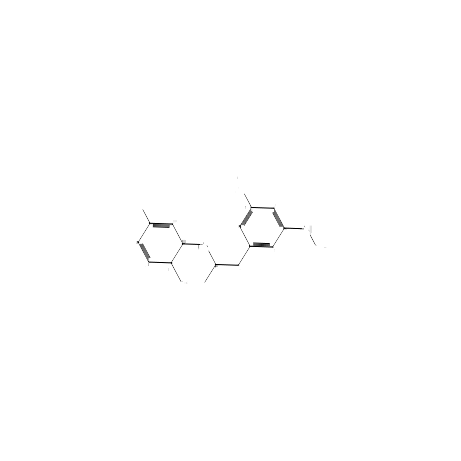 CC(C)Nc1cc(CC(C)NC2C=C(F)C=CC2C)cc(C(F)(F)F)c1